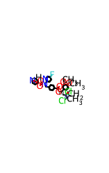 C=C(Cl)/C(C[C@H](OC(=O)c1ccc(CN(C(=O)O[C@H]2CN3CCC2CC3)c2ccc(F)cn2)cc1)c1ccc(OC)c(OC)c1)=C(\C)Cl